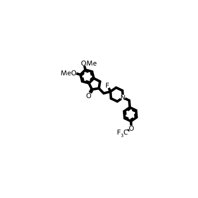 COc1cc2c(cc1OC)C(=O)C(CC1(F)CCN(Cc3ccc(OC(F)(F)F)cc3)CC1)C2